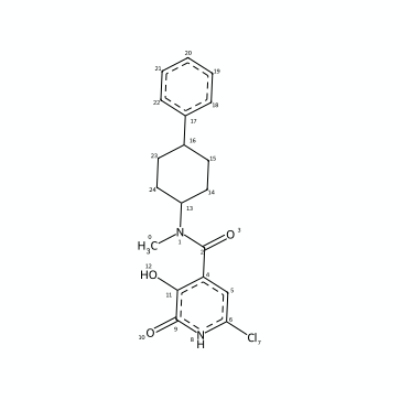 CN(C(=O)c1cc(Cl)[nH]c(=O)c1O)C1CCC(c2ccccc2)CC1